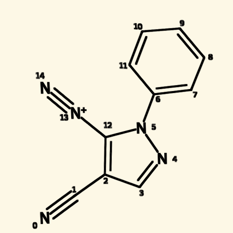 N#Cc1cnn(-c2ccccc2)c1[N+]#N